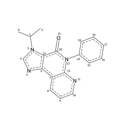 CC(C)n1cnc2c3cccnc3n(-c3ccccc3)c(=O)c21